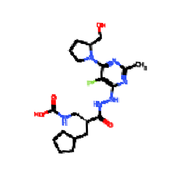 Cc1nc(NNC(=O)[C@@H](CNC(=O)O)CC2CCCC2)c(F)c(N2CCC[C@H]2CO)n1